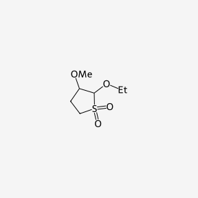 CCOC1C(OC)CCS1(=O)=O